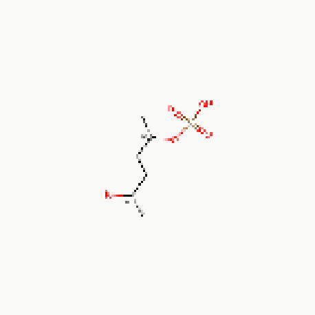 C[C@H](O)CC[C@H](C)OS(=O)(=O)O